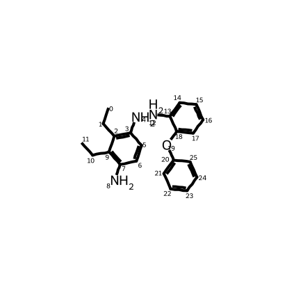 CCc1c(N)ccc(N)c1CC.Nc1ccccc1Oc1ccccc1